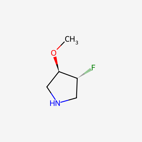 CO[C@@H]1CNC[C@H]1F